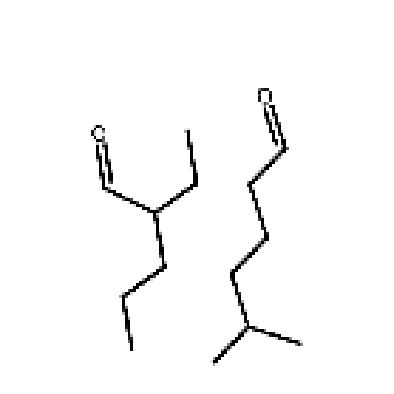 CC(C)CCCC=O.CCCC(C=O)CC